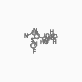 Cc1c(-c2cc(Sc3ccc(F)cn3)c3c(C#N)cnn3c2)cnn1[C@@H]1C[C@H]2CC[C@@H](C1)N2C(=O)CO